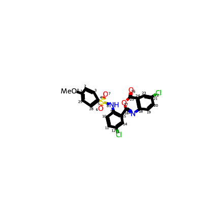 COc1ccc(S(=O)(=O)Nc2ccc(Cl)cc2-c2nc3ccc(Cl)cc3c(=O)o2)cc1